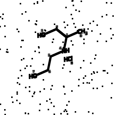 CC(CO)NCCO.Cl